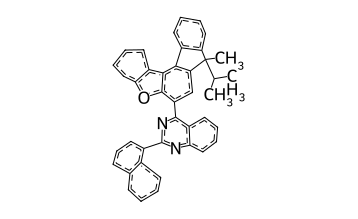 CC(C)C1(C)c2ccccc2-c2c1cc(-c1nc(-c3cccc4ccccc34)nc3ccccc13)c1oc3ccccc3c21